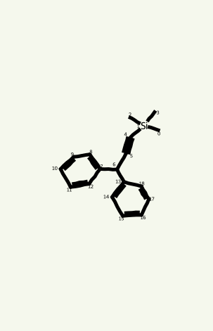 C[Si](C)(C)C#CC(c1ccccc1)c1ccccc1